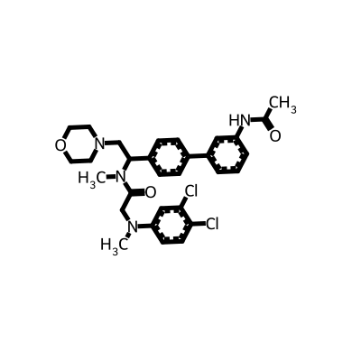 CC(=O)Nc1cccc(-c2ccc(C(CN3CCOCC3)N(C)C(=O)CN(C)c3ccc(Cl)c(Cl)c3)cc2)c1